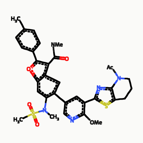 CNC(=O)c1c(-c2ccc(C)cc2)oc2cc(N(C)S(C)(=O)=O)c(-c3cnc(OC)c(-c4nc5c(s4)CCCN5C(C)=O)c3)cc12